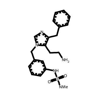 CNS(=O)(=O)Nc1cccc(Cn2cnc(Cc3ccccc3)c2CCN)c1